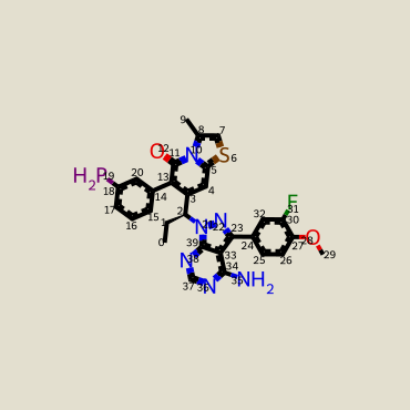 CC[C@@H](c1cc2scc(C)n2c(=O)c1-c1cccc(P)c1)n1nc(-c2ccc(OC)c(F)c2)c2c(N)ncnc21